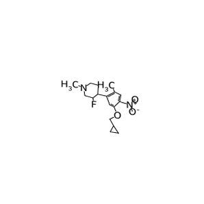 Cc1cc([N+](=O)[O-])c(OCC2CC2)cc1C1CCN(C)CC1F